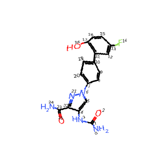 NC(=O)Nc1cn(-c2ccc(-c3cc(F)ccc3O)cc2)nc1C(N)=O